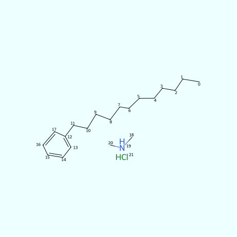 CCCCCCCCCCCCc1ccccc1.CNC.Cl